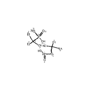 CCC(C#N)(CC)O[PH](=O)O.CCC(C#N)(CC)P(=O)(O)O